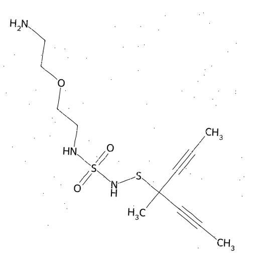 CC#CC(C)(C#CC)SNS(=O)(=O)NCCOCCN